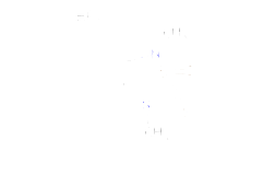 C#CC1CN(C)S(=S)(=S)N1C